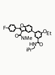 CCOc1cc(C(=O)NCC(C)C)cc(-c2ccc3oc(-c4ccc(F)cc4)c(C(=O)NC)c3c2)c1